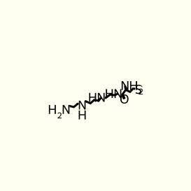 CSCCC(N)C(=O)NCCCNCCCCNCCCN